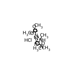 CCCNc1c(C(=O)N(C)C)cncc1N1CCN(c2ccc(OC)cc2OC)CC1.Cl